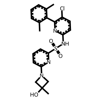 Cc1cccc(C)c1-c1nc(NS(=O)(=O)c2cccc(N3CC(C)(O)C3)n2)ccc1Cl